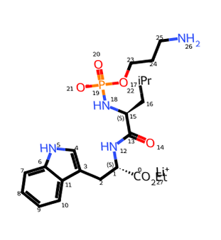 CCOC(=O)[C@H](Cc1c[nH]c2ccccc12)NC(=O)[C@H](CC(C)C)NP(=O)([O-])OCCCN.[Li+]